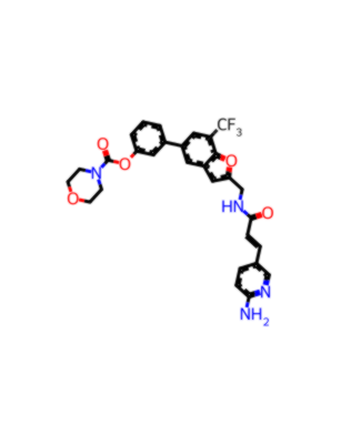 Nc1ccc(/C=C/C(=O)NCc2cc3cc(-c4cccc(OC(=O)N5CCOCC5)c4)cc(C(F)(F)F)c3o2)cn1